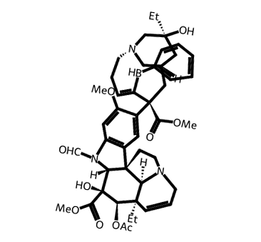 CC[C@]1(O)C[C@H]2C[N@](CC/C=C(\Bc3ccccc3)[C@@](C(=O)OC)(c3cc4c(cc3OC)N(C=O)[C@H]3[C@@](O)(C(=O)OC)[C@H](OC(C)=O)[C@]5(CC)C=CCN6CC[C@]43[C@@H]65)C2)C1